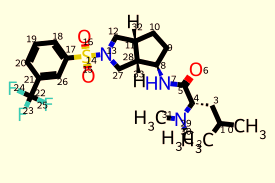 CC(C)C[C@@H](C(=O)N[C@@H]1CC[C@H]2CN(S(=O)(=O)c3cccc(C(F)(F)F)c3)C[C@H]21)N(C)C